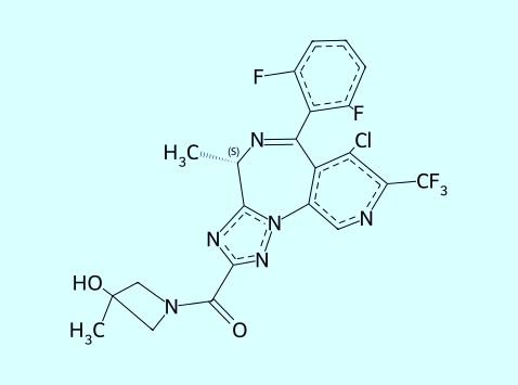 C[C@@H]1N=C(c2c(F)cccc2F)c2c(cnc(C(F)(F)F)c2Cl)-n2nc(C(=O)N3CC(C)(O)C3)nc21